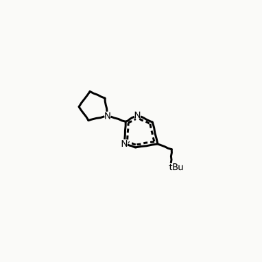 CC(C)(C)Cc1cnc(N2CCCC2)nc1